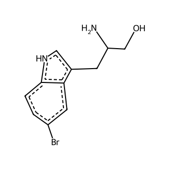 NC(CO)Cc1c[nH]c2ccc(Br)cc12